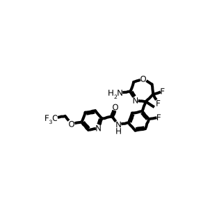 CC1(c2cc(NC(=O)c3ccc(OCC(F)(F)F)cn3)ccc2F)N=C(N)COCC1(F)F